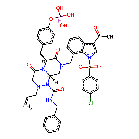 C=CCN1CC(=O)N2[C@@H](Cc3ccc(O[PH](O)(O)O)cc3)C(=O)N(Cc3cccc4c(C(C)=O)cn(S(=O)(=O)c5ccc(Cl)cc5)c34)C[C@@H]2N1C(=O)NCc1ccccc1